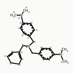 CN(C)c1ccc(CN(CC2=CCCC=C2)Cc2ccc(N(C)C)cc2)cc1